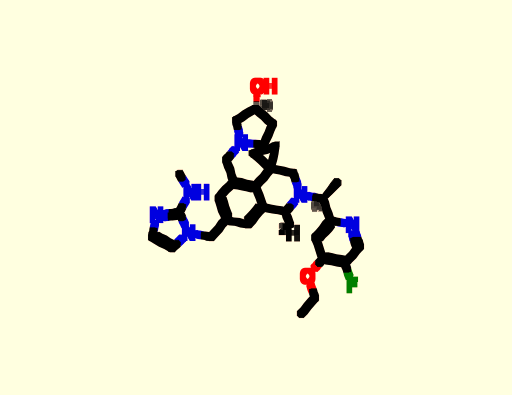 [2H]C1c2cc(Cn3ccnc3NC)cc(CN3CC[C@@H](O)C3)c2C2(CC2)CN1[C@@H](C)c1cc(OCC)c(F)cn1